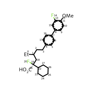 CCC(CCc1ccc(-c2ccc(OC)c(F)c2)cc1)C[C@@](F)(C(=O)O)C1CCCCC1